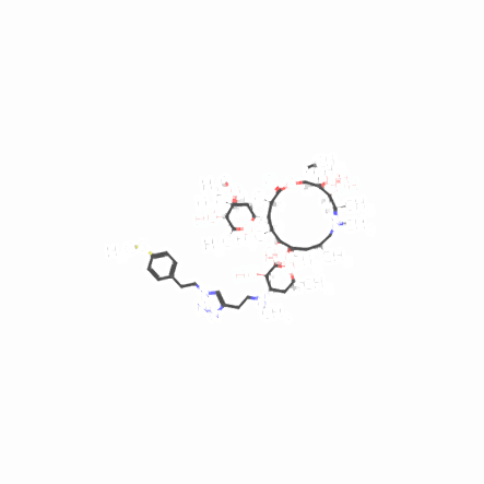 CC[C@H]1OC(=O)[C@H](C)[C@@H](C2C[C@@](C)(OC)[C@@H](O)[C@H](C)O2)[C@H](C)[C@@H](O[C@@H]2O[C@H](C)C[C@H](N(C)CCc3cn(CCc4ccc(SC)cc4)nn3)[C@H]2O)[C@](C)(O)C[C@@H](C)CN(C)[C@H](C)[C@@H](O)[C@]1(C)O